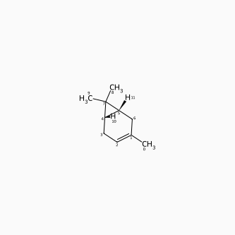 CC1=CC[C@H]2[C@@H](C1)C2(C)C